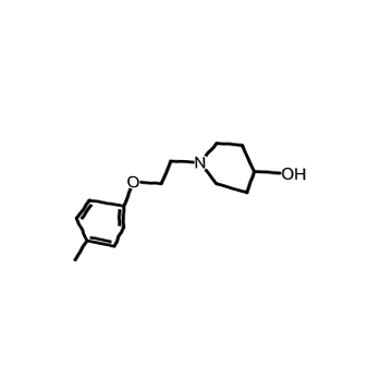 Cc1ccc(OCCN2CCC(O)CC2)cc1